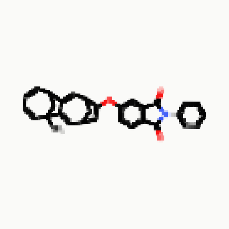 CC12C=CC=CC(C1)C1=CC3CC(C=C3Oc3ccc4c(c3)C(=O)N(c3ccccc3)C4=O)C=C12